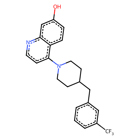 Oc1ccc2c(N3CCC(Cc4cccc(C(F)(F)F)c4)CC3)ccnc2c1